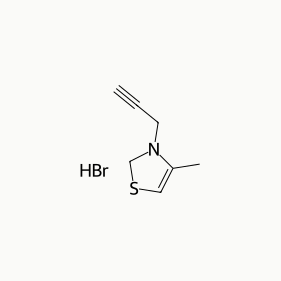 Br.C#CCN1CSC=C1C